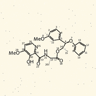 COc1cccc([C@@H](Oc2ccccc2)[C@H](C)OC(=O)[C@H](C)NC(=O)c2nccc(OC)c2O)c1